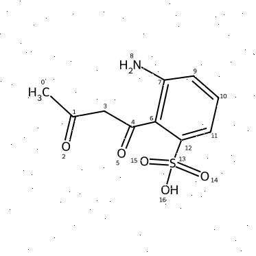 CC(=O)CC(=O)c1c(N)cccc1S(=O)(=O)O